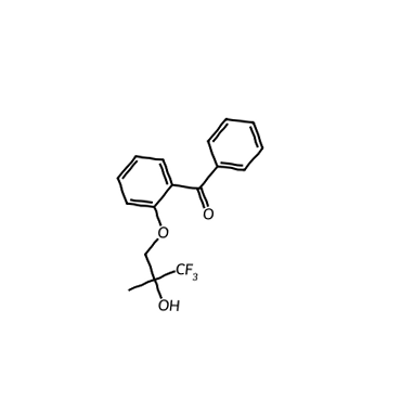 CC(O)(COc1ccccc1C(=O)c1ccccc1)C(F)(F)F